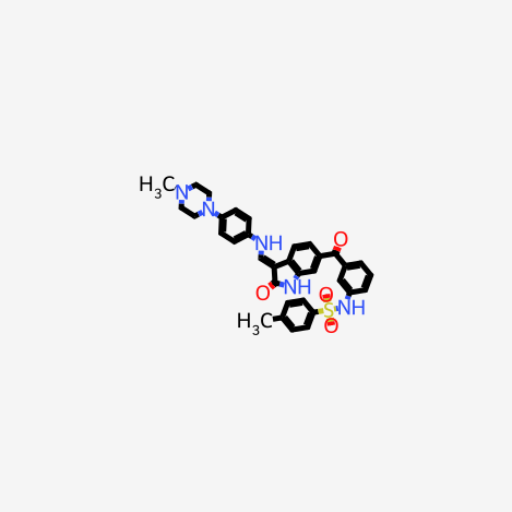 Cc1ccc(S(=O)(=O)Nc2cccc(C(=O)c3ccc4c(c3)NC(=O)/C4=C/Nc3ccc(N4CCN(C)CC4)cc3)c2)cc1